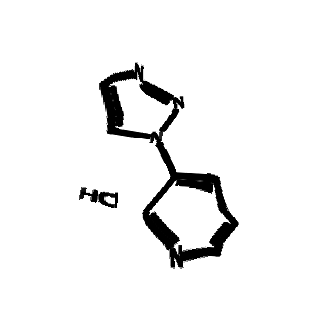 Cl.c1cncc(-n2ccnn2)c1